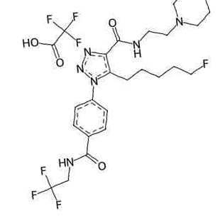 O=C(NCC(F)(F)F)c1ccc(-n2nnc(C(=O)NCCN3CCOCC3)c2CCCCCF)cc1.O=C(O)C(F)(F)F